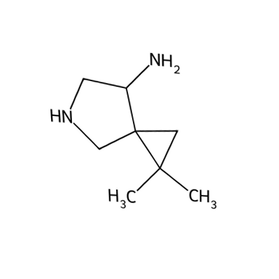 CC1(C)CC12CNCC2N